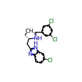 CC[C@@H](Cc1nc2ccc(Cl)cc2[nH]1)NCc1cc(Cl)cc(Cl)c1